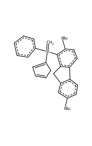 [CH2]=[Zr]([C]1=CC=CC1)([c]1ccccc1)[c]1c(C(C)(C)C)ccc2c1Cc1cc(C(C)(C)C)ccc1-2